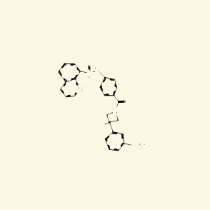 COc1cccc(C2(O)CN(C(=O)c3ccc(NS(=O)(=O)c4cccc5cccnc45)cc3)C2)c1